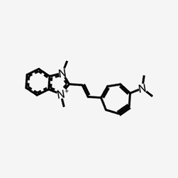 CN(C)C1=CC=C(C=Cc2n(C)c3ccccc3[n+]2C)CC#C1